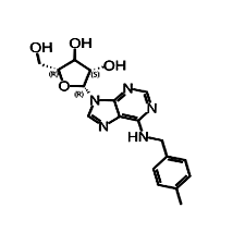 Cc1ccc(CNc2ncnc3c2ncn3[C@@H]2O[C@H](CO)C(O)[C@@H]2O)cc1